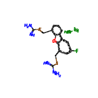 Br.Br.N=C(N)SCc1cccc2c1oc1c(CSC(=N)N)cc(F)cc12